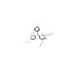 C=c1c(CCCC)cc2c(c1CCCC)Oc1cc(NO)ccc1C=2c1ccc(S(=O)(=O)O)cc1S(=O)(=O)O